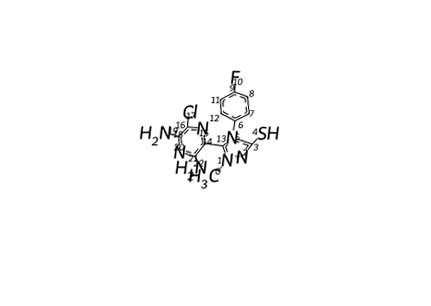 C[n+]1nc(S)n(-c2ccc(F)cc2)c1-c1nc(Cl)c(N)nc1N